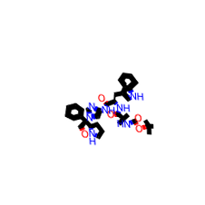 CC(C)(C)OC(=O)NC(C)(C)C(=O)N[C@H](Cc1c[nH]c2ccccc12)C(=O)Nc1cn(C(C=O)(c2ccccc2)C2CCCN2)cn1